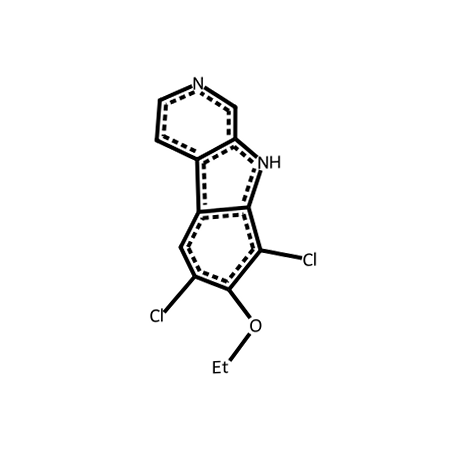 CCOc1c(Cl)cc2c([nH]c3cnccc32)c1Cl